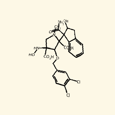 CN1CC(NO)(C(=O)O)C(OCc2ccc(Cl)c(Cl)c2)C1(C(=O)O)C1(C(N)=O)c2ccccc2CC1O